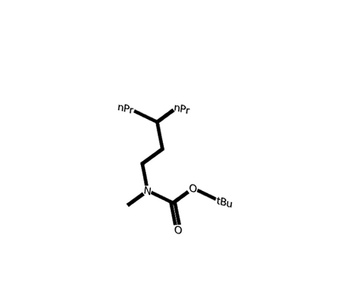 CCCC(CCC)CCN(C)C(=O)OC(C)(C)C